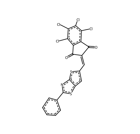 O=C1C(=Cc2cc3sc(-c4ccccc4)nc3s2)C(=O)c2c(Cl)c(Cl)c(Cl)c(Cl)c21